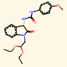 CCOC(CN1C(=O)[C@@H](NC(=O)Nc2ccc(OC)cc2)c2ccccc21)OCC